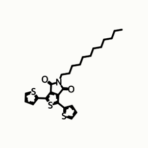 CCCCCCCCCCCCN1C(=O)c2c(-c3cccs3)sc(-c3cccs3)c2C1=O